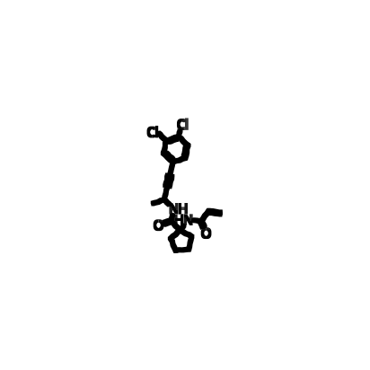 C=CC(=O)NC1(C(=O)NC(C)C#Cc2ccc(Cl)c(Cl)c2)CCCC1